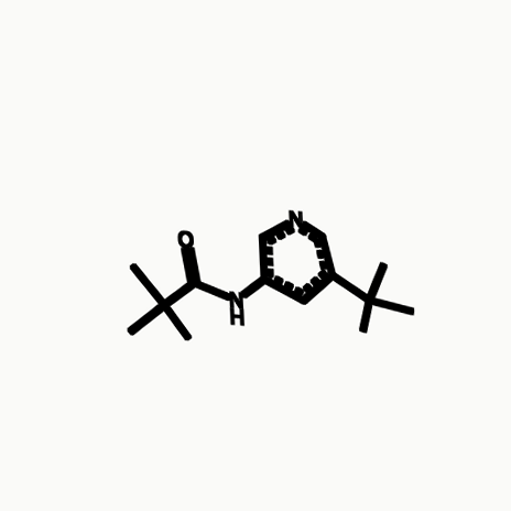 CC(C)(C)C(=O)Nc1cncc(C(C)(C)C)c1